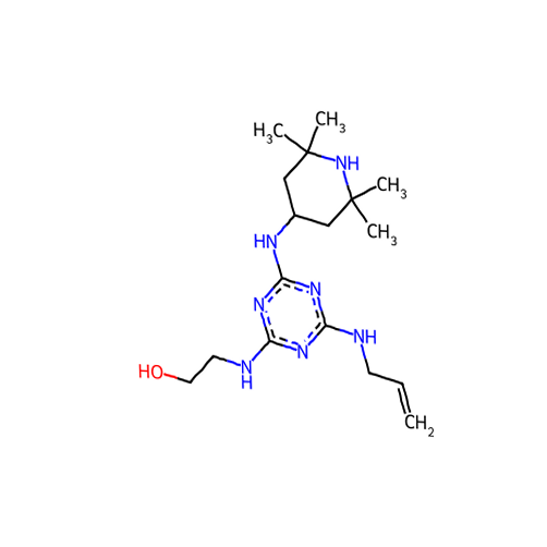 C=CCNc1nc(NCCO)nc(NC2CC(C)(C)NC(C)(C)C2)n1